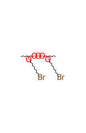 CCCCC(CCOCOCOCCC(CCCC)OC=CCCCCCCCCBr)OC=CCCCCCCCCBr